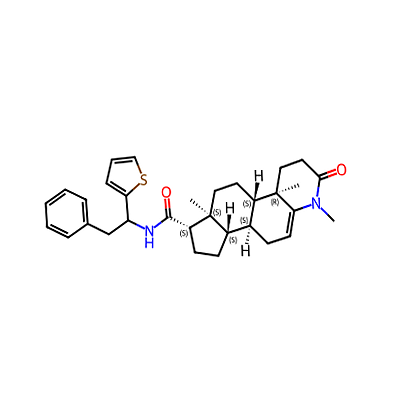 CN1C(=O)CC[C@@]2(C)C1=CC[C@H]1[C@@H]3CC[C@H](C(=O)NC(Cc4ccccc4)c4cccs4)[C@@]3(C)CC[C@@H]12